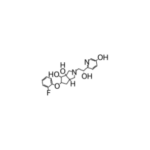 Oc1ccc([C@H](O)CN2C[C@@H]3C[C@@H](Oc4ccccc4F)[C@@H](O)[C@]3(O)C2)nc1